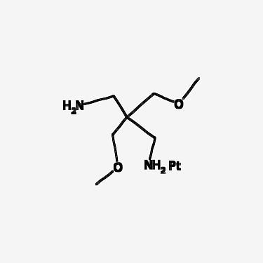 COCC(CN)(CN)COC.[Pt]